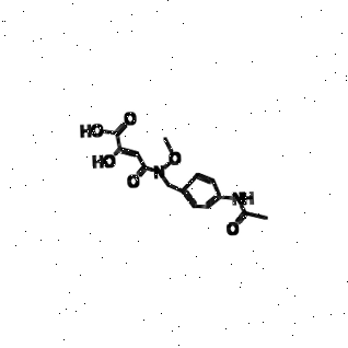 CON(Cc1ccc(NC(C)=O)cc1)C(=O)C=C(O)C(=O)O